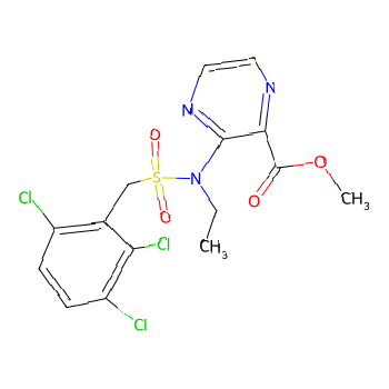 CCN(c1nccnc1C(=O)OC)S(=O)(=O)Cc1c(Cl)ccc(Cl)c1Cl